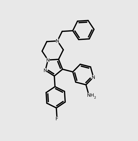 Nc1cc(-c2c(-c3ccc(F)cc3)nn3c2CN(Cc2ccccc2)CC3)ccn1